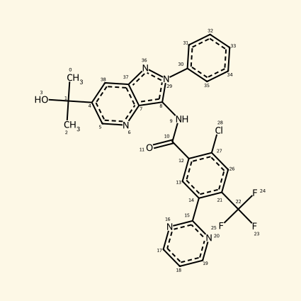 CC(C)(O)c1cnc2c(NC(=O)c3cc(-c4ncccn4)c(C(F)(F)F)cc3Cl)n(-c3ccccc3)nc2c1